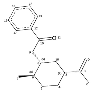 C=C(C)[C@@H]1CC[C@@H](C)[C@H](CC(=O)c2ccccc2)C1